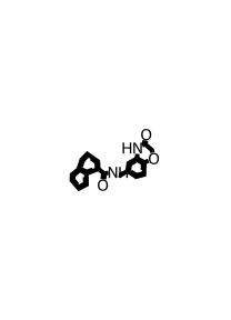 O=C1COc2ccc(CNC(=O)c3cccc4ccccc34)cc2N1